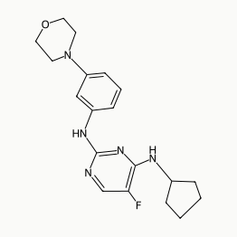 Fc1cnc(Nc2cccc(N3CCOCC3)c2)nc1NC1CCCC1